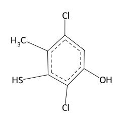 Cc1c(Cl)cc(O)c(Cl)c1S